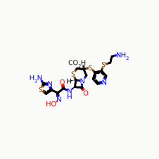 NCCSc1cnccc1SC1(C(=O)O)CS[C@@H]2[C@H](NC(=O)C(=NO)c3csc(N)n3)C(=O)N2C1